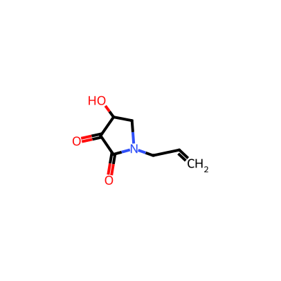 C=CCN1CC(O)C(=O)C1=O